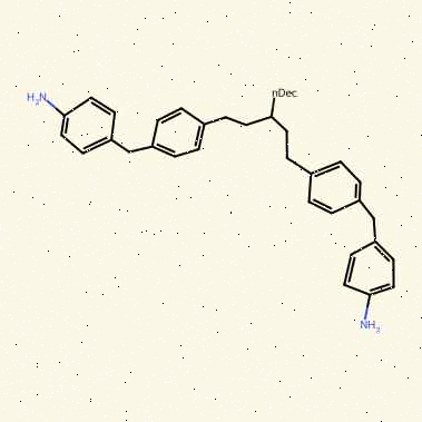 CCCCCCCCCCC(CCc1ccc(Cc2ccc(N)cc2)cc1)CCc1ccc(Cc2ccc(N)cc2)cc1